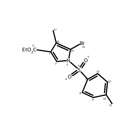 CCOC(=O)c1cn(S(=O)(=O)c2ccc(C)cc2)c(Br)c1C